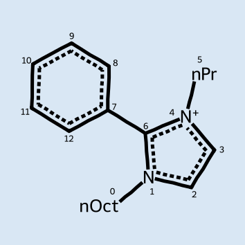 CCCCCCCCn1cc[n+](CCC)c1-c1ccccc1